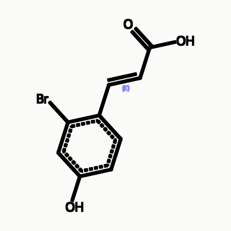 O=C(O)/C=C/c1ccc(O)cc1Br